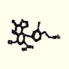 Cl.NCCc1ccc(-c2c(O)cc(Cl)c3[nH]c(=O)c4sccc4c23)cc1F